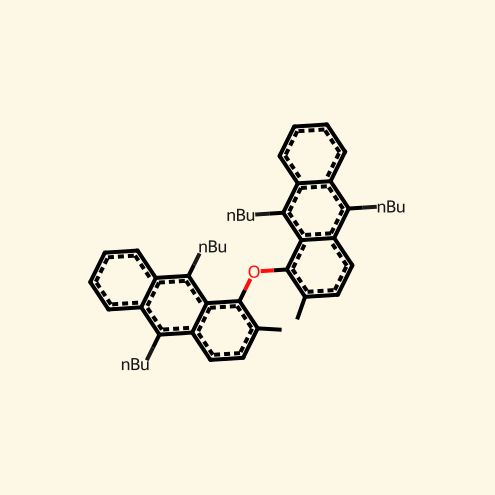 CCCCc1c2ccccc2c(CCCC)c2c(Oc3c(C)ccc4c(CCCC)c5ccccc5c(CCCC)c34)c(C)ccc12